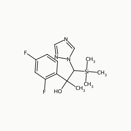 CC(O)(c1ccc(F)cc1F)C(n1cncn1)[Si](C)(C)C